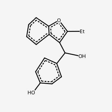 CCc1oc2ccccc2c1C(O)c1ccc(O)cc1